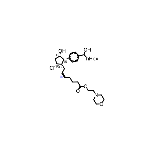 CCCCCCC(O)c1ccc([C@@H]2[C@@H](C/C=C\CCCC(=O)OCCN3CCOCC3)[C@H](Cl)C[C@H]2O)cc1